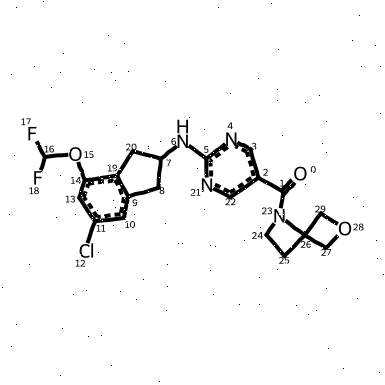 O=C(c1cnc(NC2Cc3cc(Cl)cc(OC(F)F)c3C2)nc1)N1CCC12COC2